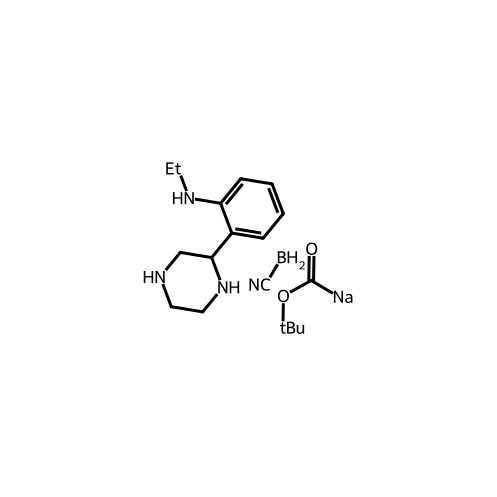 BC#N.CC(C)(C)O[C](=O)[Na].CCNc1ccccc1C1CNCCN1